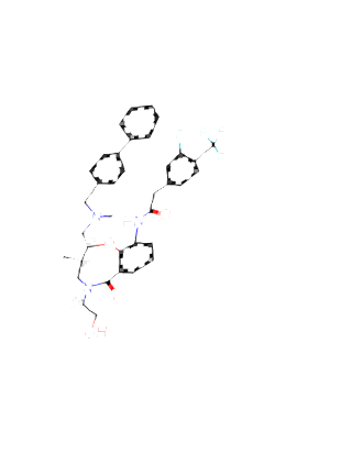 C[C@@H]1CN([C@@H](C)CO)C(=O)c2cccc(NC(=O)Cc3ccc(C(F)(F)F)c(F)c3)c2O[C@@H]1CN(C)Cc1ccc(-c2ccccc2)cc1